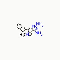 Cn1ccc2c3c(N)nc(N)nc3cc(-c3ccc4ccccc4c3)c21